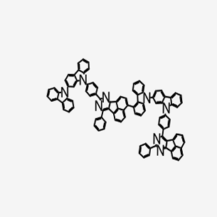 c1ccc(-c2nc(-c3ccc(-n4c5ccccc5c5ccc(-n6c7ccccc7c7c(-c8ccc9c%10c(cccc8%10)-c8c(-c%10ccccc%10)nc(-c%10ccc(-n%11c%12ccccc%12c%12ccc(-n%13c%14ccccc%14c%14ccccc%14%13)cc%12%11)cc%10)nc8-9)cccc76)cc54)cc3)c3c(n2)-c2cccc4cccc-3c24)cc1